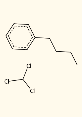 CCCCc1ccccc1.ClC(Cl)Cl